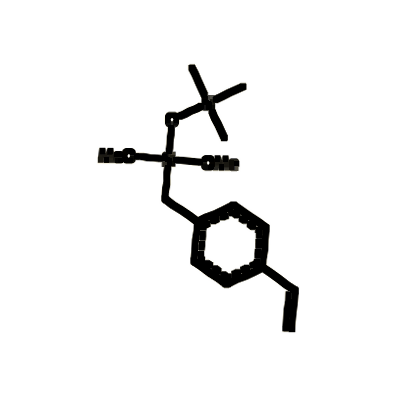 C=Cc1ccc(C[Si](OC)(OC)O[Si](C)(C)C)cc1